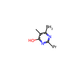 Bc1nc(C(C)C)nc(O)c1C